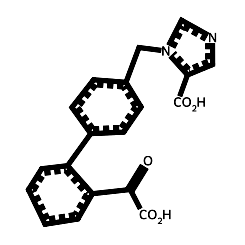 O=C(O)C(=O)c1ccccc1-c1ccc(Cn2cncc2C(=O)O)cc1